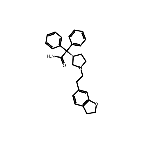 NC(=O)C(c1ccccc1)(c1ccccc1)[C@H]1CCN(CCc2ccc3c(c2)OCC3)C1